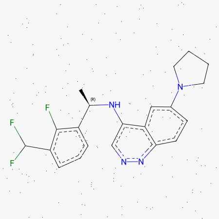 C[C@@H](Nc1cnnc2ccc(N3CCCC3)cc12)c1cccc(C(F)F)c1F